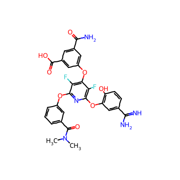 CN(C)C(=O)c1cccc(Oc2nc(Oc3cc(C(=N)N)ccc3O)c(F)c(Oc3cc(C(N)=O)cc(C(=O)O)c3)c2F)c1